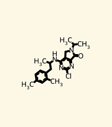 Cc1ccc(CC(C)Nc2nc(Cl)nc3c2CN(C(C)C)C3=O)c(C)c1